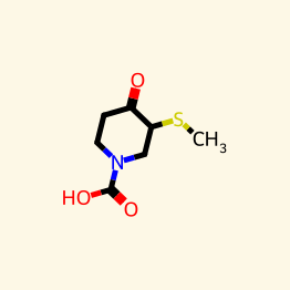 CSC1CN(C(=O)O)CCC1=O